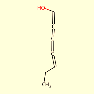 CCC=C=C=C=CO